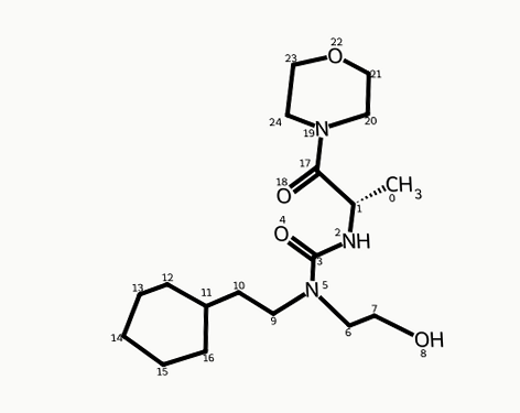 C[C@H](NC(=O)N(CCO)CCC1CCCCC1)C(=O)N1CCOCC1